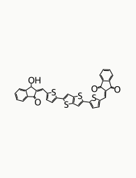 O=C1C(=Cc2ccc(-c3cc4sc(-c5ccc(/C=C6\C(=O)c7ccccc7C6O)s5)cc4s3)s2)C(=O)c2ccccc21